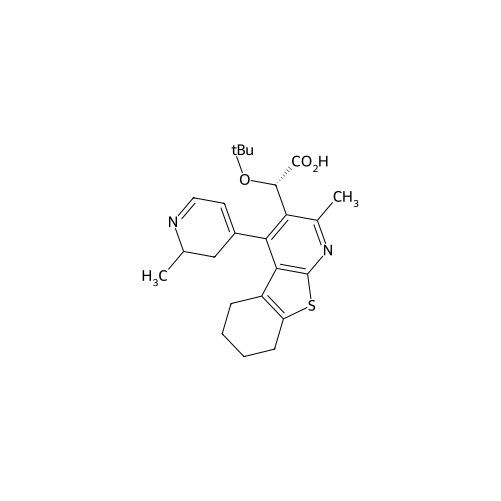 Cc1nc2sc3c(c2c(C2=CC=NC(C)C2)c1[C@H](OC(C)(C)C)C(=O)O)CCCC3